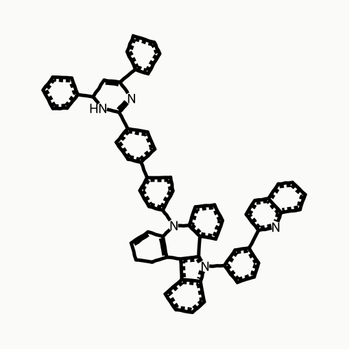 C1=CC2=C(CC1)c1c(n(-c3cccc(-c4ccc5ccccc5n4)c3)c3ccccc13)-c1ccccc1N2c1ccc(-c2ccc(C3=NC(c4ccccc4)=CC(c4ccccc4)N3)cc2)cc1